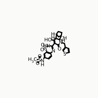 CS(=O)(=O)Nc1ccc2c(c1)S(=O)(=O)NC(C1=C(O)[C@@H]3[C@H]4CC[C@H](C4)[C@@H]3N(Cc3ccsc3)C1=O)=N2